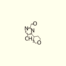 Cc1cnc(C=O)nc1C1CCOCC1